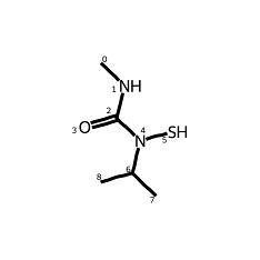 CNC(=O)N(S)C(C)C